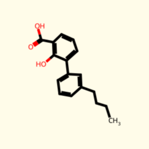 CCCCc1cccc(-c2cccc(C(=O)O)c2O)c1